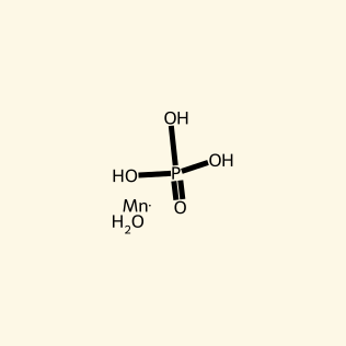 O.O=P(O)(O)O.[Mn]